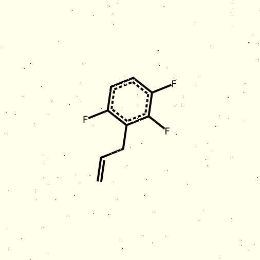 C=CCc1c(F)ccc(F)c1F